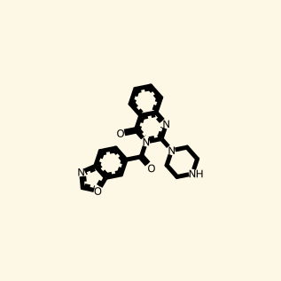 O=C(c1ccc2ncoc2c1)n1c(N2CCNCC2)nc2ccccc2c1=O